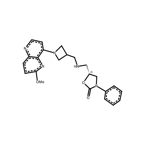 COc1ccc2nccc(N3CC(CNC[C@@H]4CN(c5ccccc5)C(=O)O4)C3)c2n1